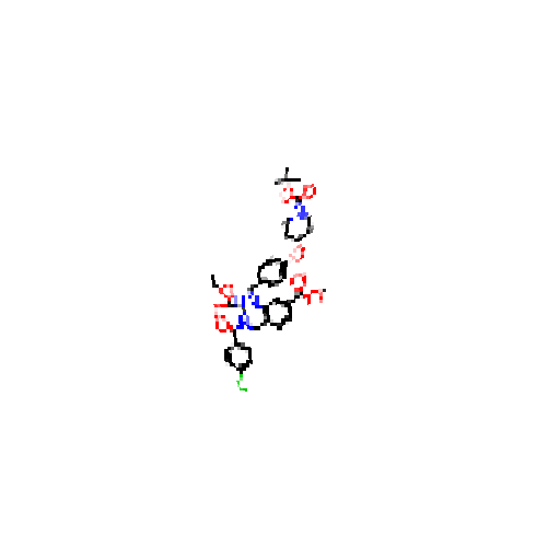 CCOC(=O)CN(Cc1ccc(C(=O)OC)cc1NCc1ccc(OC2CCN(C(=O)OC(C)(C)C)CC2)cc1)C(=O)c1ccc(Cl)cc1